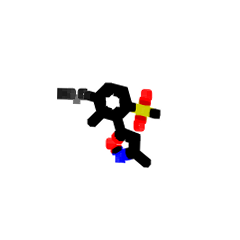 Cc1cc(-c2c(S(C)(=O)=O)ccc(C(=O)O)c2C)on1